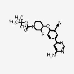 CC(C)(C)OC(=O)N1CCC(Oc2ccc(-c3cc(N)ncn3)cc2C#N)C(F)C1